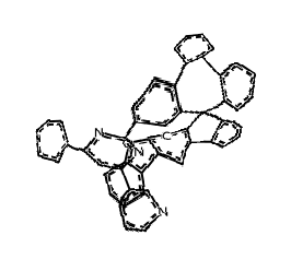 c1ccc(-c2cc(-c3cccnc3)nc(-c3ccc4c(c3)C3(c5ccccc5-c5ccccc5-4)c4ccccc4-c4cc5c(cc43)oc3ccccc35)n2)cc1